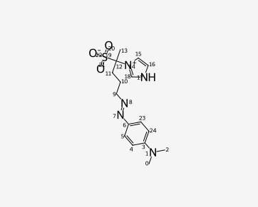 CN(C)c1ccc(N=NCCCC(C)([n+]2cc[nH]c2)S(=O)(=O)[O-])cc1